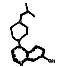 C[C](C)CN1CCN(c2ccnc3cc(O)ccc23)CC1